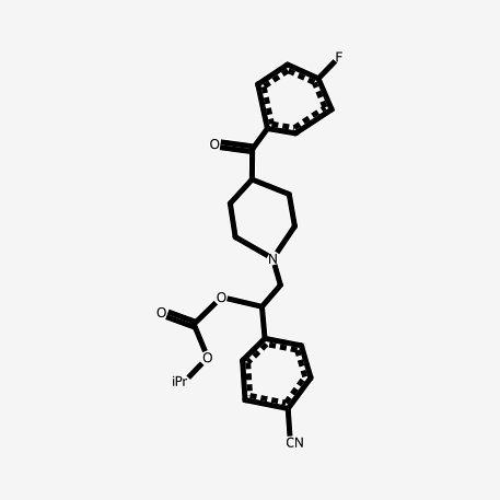 CC(C)OC(=O)OC(CN1CCC(C(=O)c2ccc(F)cc2)CC1)c1ccc(C#N)cc1